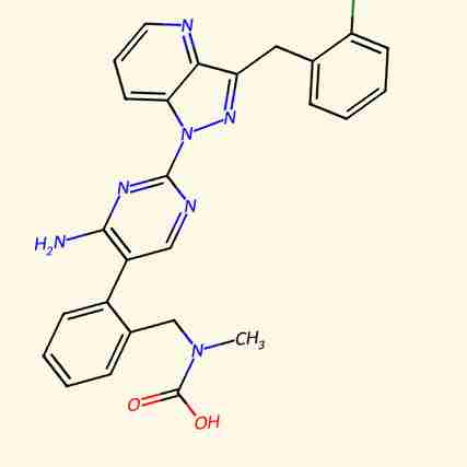 CN(Cc1ccccc1-c1cnc(-n2nc(Cc3ccccc3F)c3ncccc32)nc1N)C(=O)O